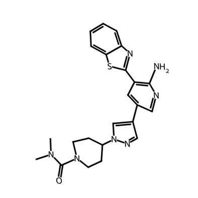 CN(C)C(=O)N1CCC(n2cc(-c3cnc(N)c(-c4nc5ccccc5s4)c3)cn2)CC1